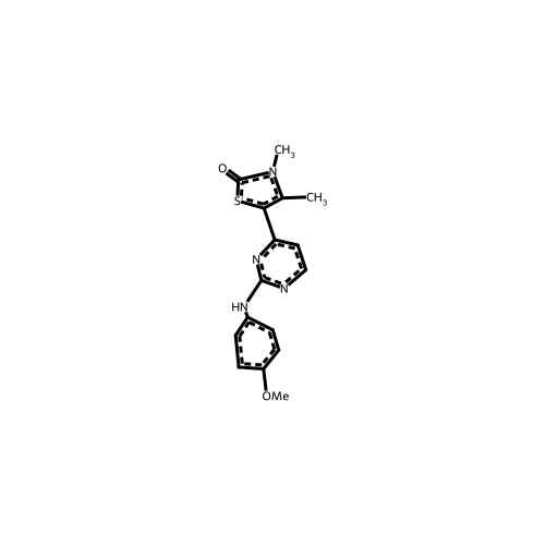 COc1ccc(Nc2nccc(-c3sc(=O)n(C)c3C)n2)cc1